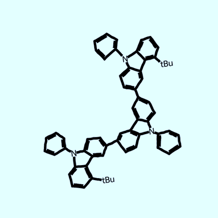 CC(C)(C)c1cccc2c1c1cc(-c3ccc4c(c3)c3cc(-c5ccc6c(c5)c5c(C(C)(C)C)cccc5n6-c5ccccc5)ccc3n4-c3ccccc3)ccc1n2-c1ccccc1